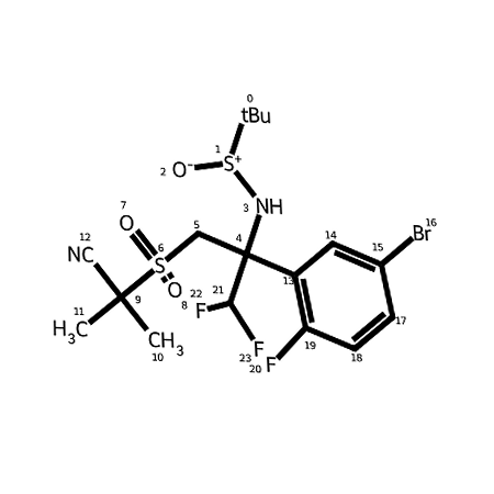 CC(C)(C)[S+]([O-])NC(CS(=O)(=O)C(C)(C)C#N)(c1cc(Br)ccc1F)C(F)F